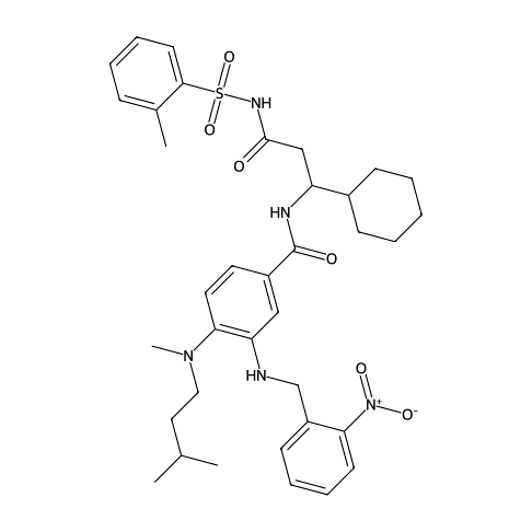 Cc1ccccc1S(=O)(=O)NC(=O)CC(NC(=O)c1ccc(N(C)CCC(C)C)c(NCc2ccccc2[N+](=O)[O-])c1)C1CCCCC1